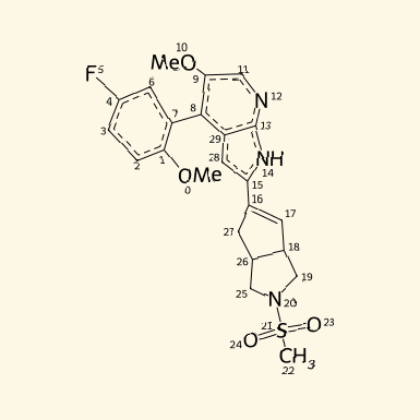 COc1ccc(F)cc1-c1c(OC)cnc2[nH]c(C3=CC4CN(S(C)(=O)=O)CC4C3)cc12